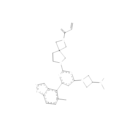 C=CC(=O)N1CC2(CCN(c3nc(-c4c(C)ccc5[nH]ncc45)cc(N4CC(N(C)C)C4)n3)C2)C1